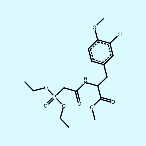 CCOP(=O)(CC(=O)NC(Cc1ccc(OC)c(Cl)c1)C(=O)OC)OCC